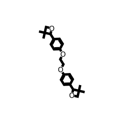 CC1(C)COC1c1ccc(OCCOc2ccc(C3OCC3(C)C)cc2)cc1